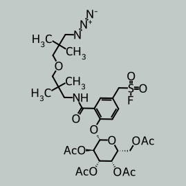 CC(=O)OC[C@H]1O[C@@H](Oc2ccc(CS(=O)(=O)F)cc2C(=O)NCC(C)(C)COCC(C)(C)CN=[N+]=[N-])[C@H](OC(C)=O)[C@@H](OC(C)=O)[C@H]1OC(C)=O